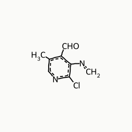 C=Nc1c(Cl)ncc(C)c1C=O